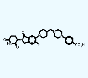 O=C1CCC(N2Cc3cc(F)c(N4CCC(CN5CCN(c6ccc(C(=O)O)cc6)CC5)CC4)cc3C2=O)C(=O)N1